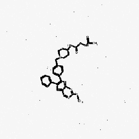 CSc1ncc2cc(-c3ccccc3)c(-c3ccc(CN4CCC(NC(=O)CNC(C)=O)CC4)cc3)nc2n1